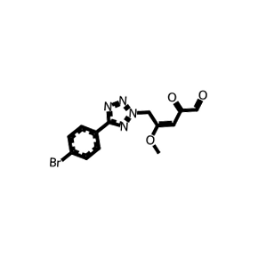 CO/C(=C/C(=O)C=O)Cn1nnc(-c2ccc(Br)cc2)n1